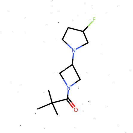 CC(C)(C)C(=O)N1CC(N2CCC(F)C2)C1